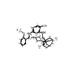 N#Cc1cnc(NCc2ccccc2OC(F)(F)F)nc1NCC12CC3C[C@H](C1)[C@H](N1CC(N)C1)[C@@H](C3)C2